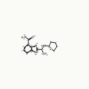 CC(NC1CCCCC1)c1nc2c(C(N)=O)cccc2[nH]1